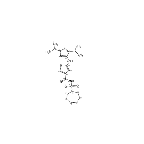 CC(C)c1cn(C(C)C)nc1Nc1nc(C(=O)NS(=O)(=O)N2CCCOCC2)co1